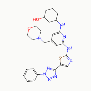 OC1CCCC(Nc2cc(CN3CCOCC3)cc(Nc3ncc(-c4nnn(-c5ccccc5)n4)s3)n2)C1